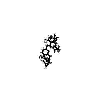 NC(=O)c1c(C(F)(F)F)cc(C(F)(F)F)nc1CC1CCC(S(=O)(=O)CC2CC2)C(CC2CC2)C1